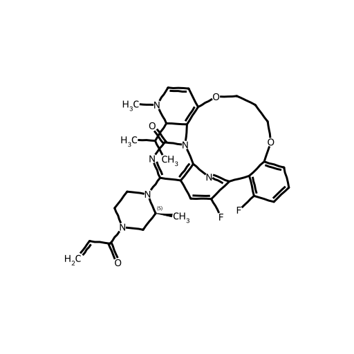 C=CC(=O)N1CCN(c2nc(=O)n3c4nc(c(F)cc24)-c2c(F)cccc2OCCCOC2=C3C(C(C)C)N(C)C=C2)[C@@H](C)C1